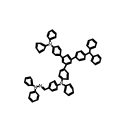 C(=NN(c1ccccc1)c1ccccc1)c1ccc(N(c2ccccc2)c2ccc(-c3cc(-c4ccc(C(c5ccccc5)c5ccccc5)cc4)cc(-c4ccc(N(c5ccccc5)c5ccccc5)cc4)c3)cc2)cc1